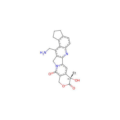 CC[C@@]1(O)C(=O)OCc2c1cc1n(c2=O)Cc2c-1nc1ccc3c(c1c2CN)CCC3